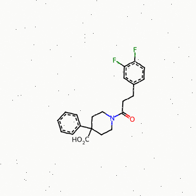 O=C(CCc1ccc(F)c(F)c1)N1CCC(C(=O)O)(c2ccccc2)CC1